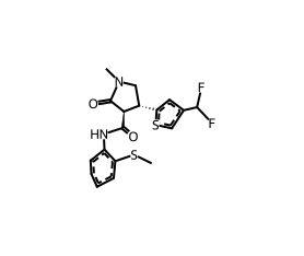 CSc1ccccc1NC(=O)[C@H]1C(=O)N(C)C[C@@H]1c1cc(C(F)F)cs1